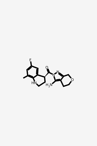 Cc1cc(F)cc2c1NCC[C@@H]2C(=O)n1nc2c(c1N)CCOC2